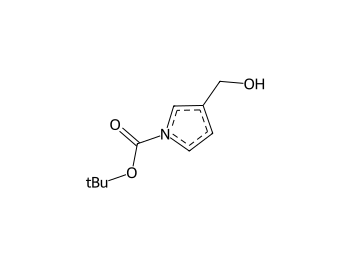 CC(C)(C)OC(=O)n1ccc(CO)c1